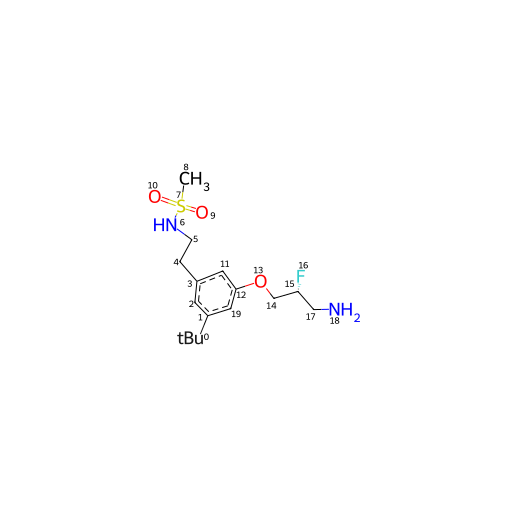 CC(C)(C)c1cc(CCNS(C)(=O)=O)cc(OC[C@H](F)CN)c1